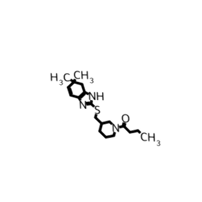 CCCC(=O)N1CCCC(CSc2nc3c([nH]2)CC(C)(C)C=C3)C1